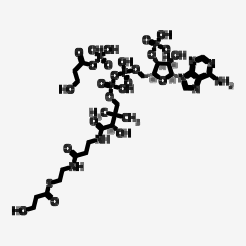 CC(C)(COP(=O)(O)OP(=O)(O)OC[C@H]1O[C@@H](n2cnc3c(N)ncnc32)[C@H](O)[C@@H]1OP(=O)(O)O)[C@@H](O)C(=O)NCCC(=O)NCCSC(=O)CCO.O=C(CCO)OP(=O)(O)O